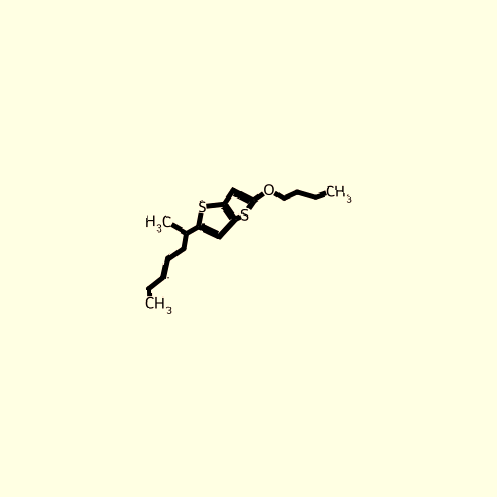 CC[CH]CCC(C)c1cc2sc(OCCCC)cc2s1